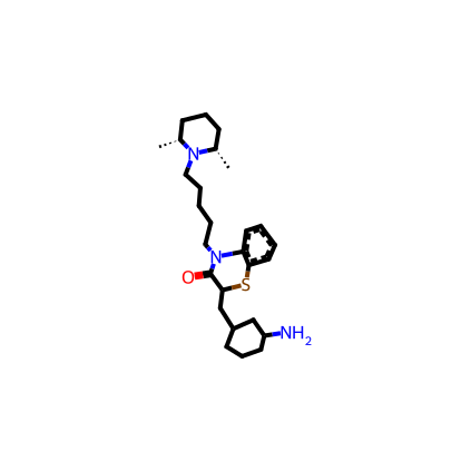 C[C@@H]1CCC[C@H](C)N1CCCCCN1C(=O)C(CC2CCCC(N)C2)Sc2ccccc21